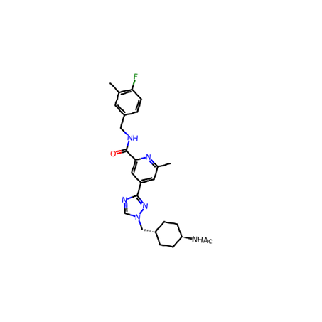 CC(=O)N[C@H]1CC[C@H](Cn2cnc(-c3cc(C)nc(C(=O)NCc4ccc(F)c(C)c4)c3)n2)CC1